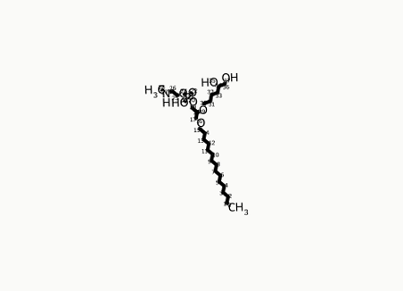 CCCCCCCCCCCCCCCCOCC(COP(=O)(O)OCCNC)OCCCCC(O)CO